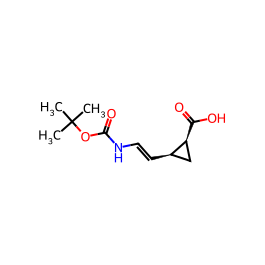 CC(C)(C)OC(=O)NC=C[C@@H]1C[C@@H]1C(=O)O